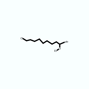 CCCC(CCCCCCCCCl)OCC